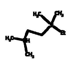 CC[Si](C)(C)CC[SiH](C)C